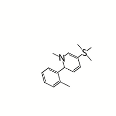 Cc1ccccc1C1C=CC(S(C)(C)C)=CN1C